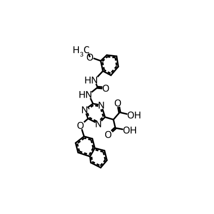 COc1ccccc1NC(=O)Nc1nc(Oc2ccc3ccccc3c2)nc(C(C(=O)O)C(=O)O)n1